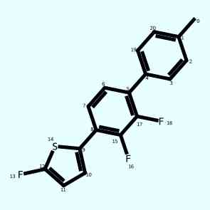 Cc1ccc(-c2ccc(-c3ccc(F)s3)c(F)c2F)cc1